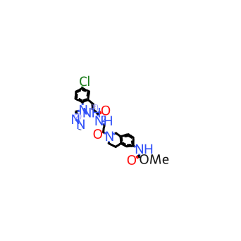 C=N/N=C\N(N)c1ccc(Cl)cc1/C=C/C(=O)NCC(=O)N1CCc2cc(NC(=O)OC)ccc2C1